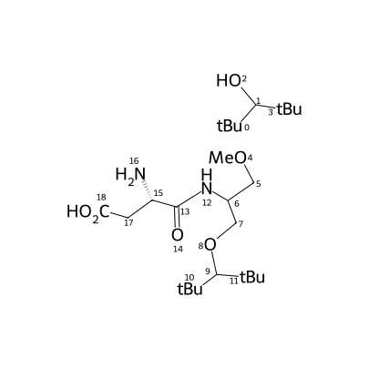 CC(C)(C)C(O)C(C)(C)C.COCC(COC(C(C)(C)C)C(C)(C)C)NC(=O)[C@@H](N)CC(=O)O